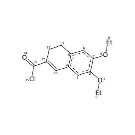 CCOc1cc2c(cc1OCC)CCC(C(=O)Cl)=C2